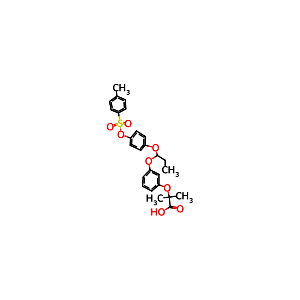 CCC(Oc1ccc(OS(=O)(=O)c2ccc(C)cc2)cc1)Oc1cccc(OC(C)(C)C(=O)O)c1